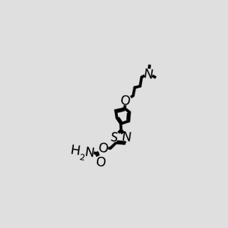 CN(C)CCCCOc1ccc(-c2ncc(COC(N)=O)s2)cc1